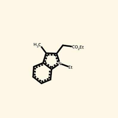 CCOC(=O)Cc1c(C)c2ccccc2n1CC